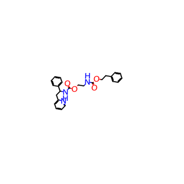 O=C(NCCOC(=O)NC(Cc1ccccn1)c1ccccc1)OCCc1ccccc1